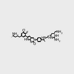 C[C@H](N)CCCc1cc(Cl)c(F)c(-c2cc3cn(-c4ccc([C@H](C)NCC[C@H](CCCN)NC(=N)N)cc4)c(=O)nc3[nH]2)c1